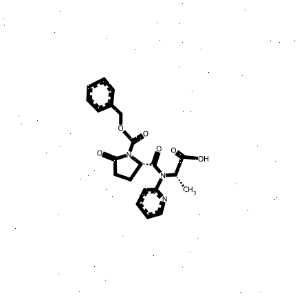 C[C@@H](C(=O)O)N(C(=O)[C@@H]1CCC(=O)N1C(=O)OCc1ccccc1)c1ccccn1